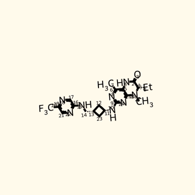 CC[C@H]1C(=O)Nc2c(C)nc(N[C@H]3C[C@@H](CNc4cnc(C(F)(F)F)cn4)C3)nc2N1C